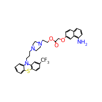 Nc1cccc2ccc(OCC(=O)OCCN3CCN(CCCN4c5ccccc5Sc5ccc(C(F)(F)F)cc54)CC3)cc12